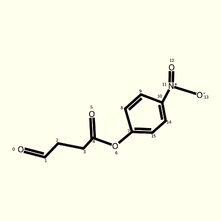 O=CCCC(=O)Oc1ccc([N+](=O)[O-])cc1